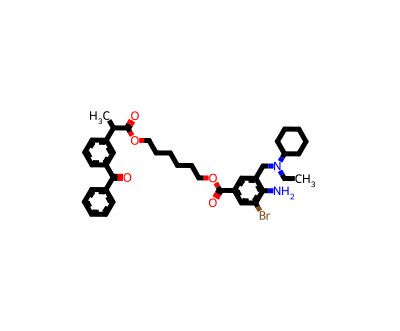 CCN(Cc1cc(C(=O)OCCCCCCOC(=O)C(C)c2cccc(C(=O)c3ccccc3)c2)cc(Br)c1N)C1CCCCC1